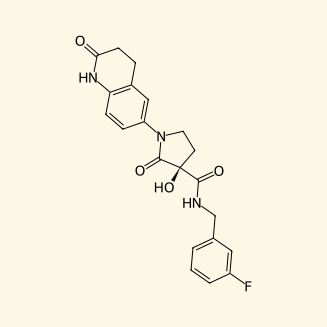 O=C1CCc2cc(N3CC[C@](O)(C(=O)NCc4cccc(F)c4)C3=O)ccc2N1